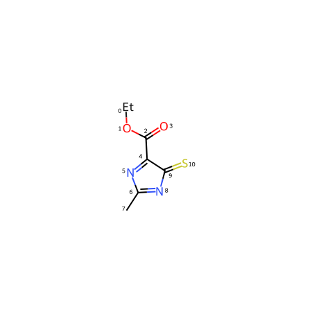 CCOC(=O)C1=NC(C)=NC1=S